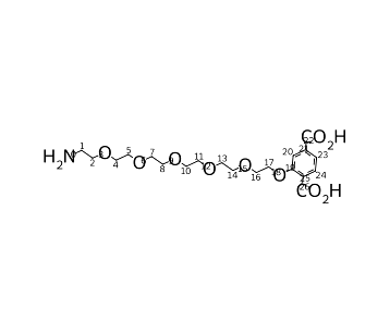 NCCOCCOCCOCCOCCOCCOc1cc(C(=O)O)ccc1C(=O)O